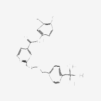 CC(C)(C)c1ccc(CSNc2cc(C(=O)Nc3ccc(F)c(Cl)c3)ccn2)cc1